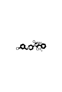 Cc1c(-c2ccccc2)[nH]c(=O)n1C1CCN(Cc2cccc(Cl)c2)CC1